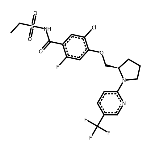 CCS(=O)(=O)NC(=O)c1cc(Cl)c(OC[C@H]2CCCN2c2ccc(C(F)(F)F)cn2)cc1F